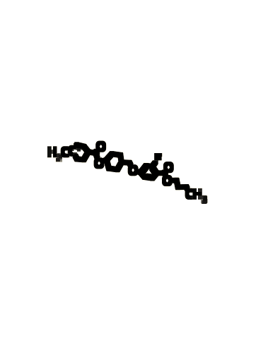 [CH2-][C+]1CCC(C(=O)OC2CCC(COc3ccc(C(=O)OCCCC)c(F)c3)CC2)CC1